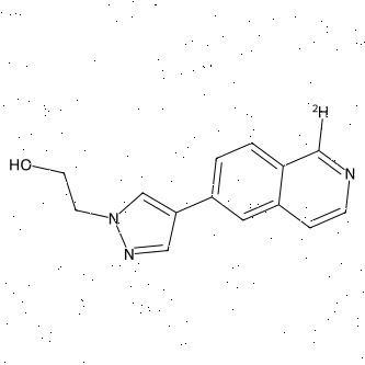 [2H]c1nccc2cc(-c3cnn(CCO)c3)ccc12